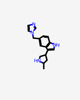 CC1CC(c2c[nH]c3ccc(Cn4ccnc4)cc23)CN1